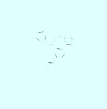 CCC(C)N1CC=C(c2ccc3c(c2)C(Nc2cccc(Cl)c2)CCn2nnc(C)c2-3)CC1